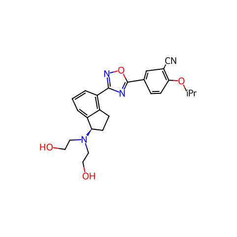 CC(C)Oc1ccc(-c2nc(-c3cccc4c3CC[C@H]4N(CCO)CCO)no2)cc1C#N